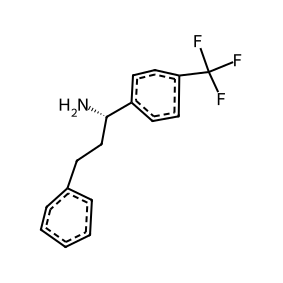 N[C@@H](CCc1ccccc1)c1ccc(C(F)(F)F)cc1